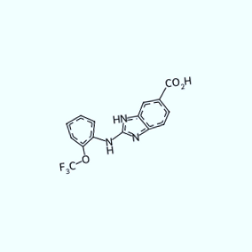 O=C(O)c1ccc2nc(Nc3ccccc3OC(F)(F)F)[nH]c2c1